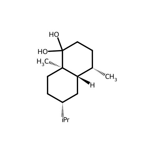 CC(C)[C@@H]1CC[C@]2(C)[C@@H](C1)[C@@H](C)CCC2(O)O